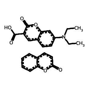 CCN(CC)c1ccc2cc(C(=O)O)c(=O)oc2c1.O=c1ccc2ccccc2o1